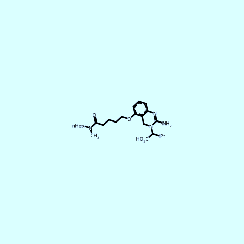 CCCCCCN(C)C(=O)CCCCOc1cccc2c1CN(C(C(=O)O)C(C)C)C(N)=N2